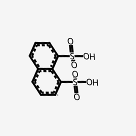 O=S(=O)(O)c1[c]ccc2cccc(S(=O)(=O)O)c12